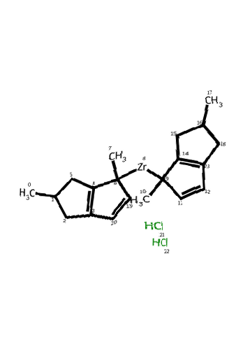 CC1CC2=C(C1)[C](C)([Zr][C]1(C)C=CC3=C1CC(C)C3)C=C2.Cl.Cl